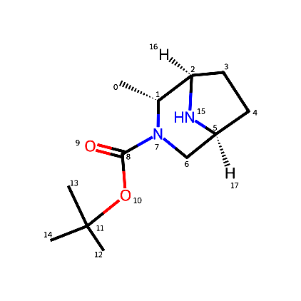 C[C@@H]1[C@H]2CC[C@@H](CN1C(=O)OC(C)(C)C)N2